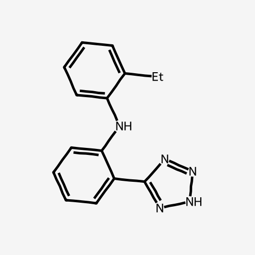 CCc1ccccc1Nc1ccccc1-c1nn[nH]n1